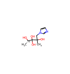 C[C@H](O)C(O)(O)C(C)(O)Cn1ccnc1